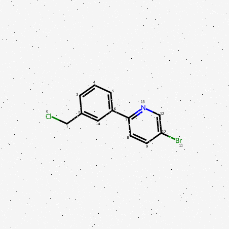 ClCc1cccc(-c2ccc(Br)cn2)c1